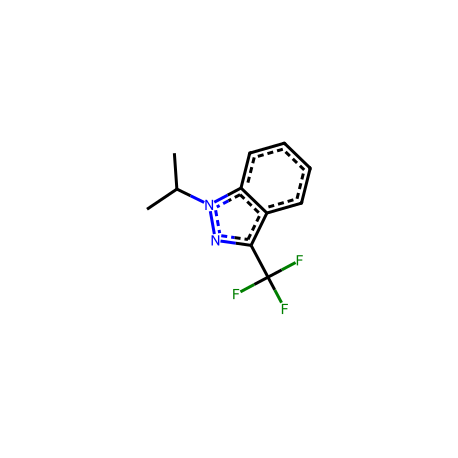 CC(C)n1nc(C(F)(F)F)c2ccccc21